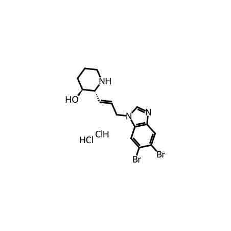 Cl.Cl.O[C@H]1CCCN[C@@H]1/C=C/Cn1cnc2cc(Br)c(Br)cc21